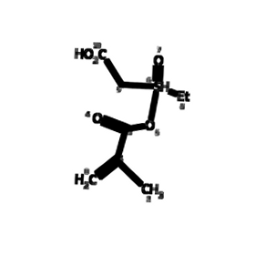 C=C(C)C(=O)O[SH](=O)(CC)CC(=O)O